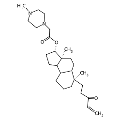 C=CC(=O)CC[C@@]1(C)CCCC2C1CC[C@@]1(C)C2CC[C@@H]1OC(=O)CN1CCN(C)CC1